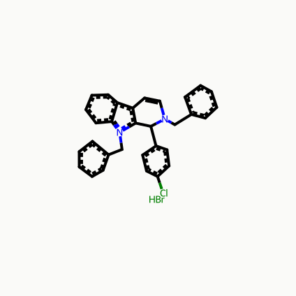 Br.Clc1ccc(C2c3c(c4ccccc4n3Cc3ccccc3)C=CN2Cc2ccccc2)cc1